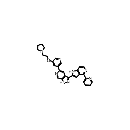 c1ccc(-c2nccc3[nH]c(-c4n[nH]c5cnc(-c6cncc(OCCN7CCCC7)c6)cc45)cc23)nc1